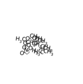 CC(CC(C)(C)C(C)(P)OCCC(C)(C)C(C)(C)C)OC(C)(C)OC(=O)ON1C(=O)CCC1=O